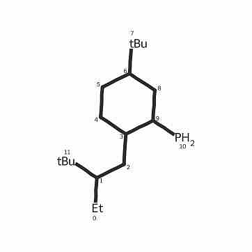 CCC(CC1CCC(C(C)(C)C)CC1P)C(C)(C)C